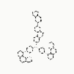 c1ccc2cc(-c3ccc4c(ccc5cc(N(c6ccc(-c7cccc8ccc9ccnnc9c78)cc6)c6ccc(-c7cccc8ccc9ccnnc9c78)cc6)ccc54)c3)ccc2c1